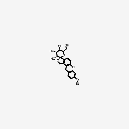 CCOc1ccc(Cc2c(Cl)ccc3c2CO[C@]32O[C@H](CO)[C@@H](O)[C@H](O)[C@H]2O)cc1